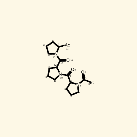 CCC(=O)N1CCCC1C(=O)N1CCCC1C(=O)N1CCCC1C(C)=O